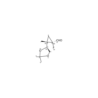 CC1(C)OC[C@H]([C@]2(C)C[C@]2(F)C=O)O1